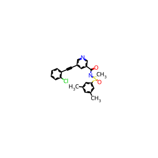 Cc1cc(C)cc(S(C)(=O)=NC(=O)c2cncc(C#Cc3ccccc3Cl)c2)c1